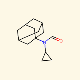 O=CN(C1CC1)C12CC3CC(CC(C3)C1)C2